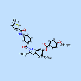 CCCCCCCOc1ccc(C(=O)Oc2ccc(CC(NC(=O)c3cccc(NC(=O)c4ccc(C)s4)c3)C(=O)O)cc2OC)cc1